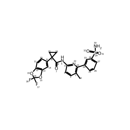 Cc1ccc(NC(=O)C2(c3ccc4c(c3)OC(F)(F)O4)CC2)nc1-c1cccc(S(N)(=O)=O)c1